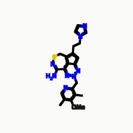 COc1c(C)cnc(Cn2nc3cc(CCn4ccnc4)c4c-3c(n2)C(N)=NSC4)c1C